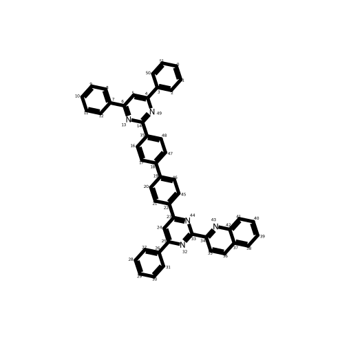 c1ccc(-c2cc(-c3ccccc3)nc(-c3ccc(-c4ccc(-c5cc(-c6ccccc6)nc(-c6ccc7ccccc7n6)n5)cc4)cc3)n2)cc1